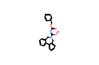 CCO/C(=N\C(=O)OCc1ccccc1)N1Cc2ccccc2-c2ccccc2C1